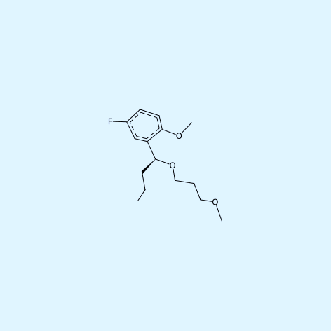 CCC[C@H](OCCCOC)c1cc(F)ccc1OC